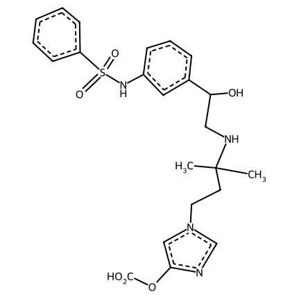 CC(C)(CCn1cnc(OC(=O)O)c1)NCC(O)c1cccc(NS(=O)(=O)c2ccccc2)c1